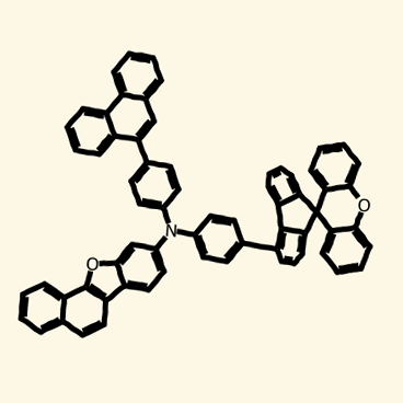 c1ccc2c(c1)Oc1ccccc1C21c2ccccc2-c2c(-c3ccc(N(c4ccc(-c5cc6ccccc6c6ccccc56)cc4)c4ccc5c(c4)oc4c6ccccc6ccc54)cc3)cccc21